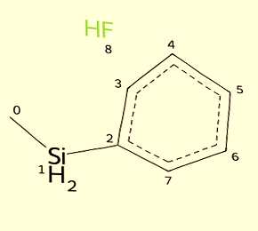 C[SiH2]c1ccccc1.F